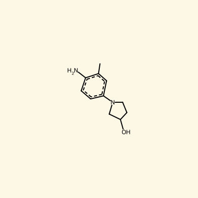 Cc1cc(N2CCC(O)C2)ccc1N